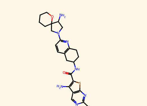 Cc1ncc2c(N)c(C(=O)NC3CCc4nc(N5CC(N)C6(CCCCO6)C5)ccc4C3)sc2n1